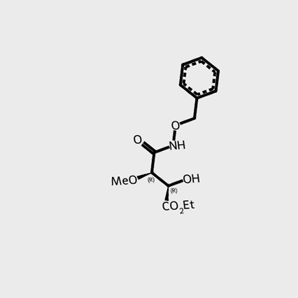 CCOC(=O)[C@H](O)[C@@H](OC)C(=O)NOCc1ccccc1